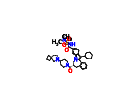 CN(C)S(=O)(=O)NC(=O)c1ccc2c(C3CCCCC3)c3n(c2c1)C[C@@H](C(=O)N1CCC(N2CCC4(CCC4)C2)CC1)Cc1ccccc1-3